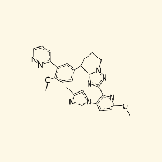 COc1ccc(-n2cnc(C)c2)c(-c2nc3n(n2)CCCC3c2ccc(OC)c(-c3cccnn3)c2)n1